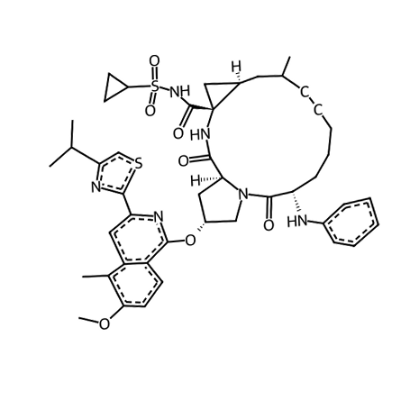 COc1ccc2c(O[C@@H]3C[C@H]4C(=O)N[C@]5(C(=O)NS(=O)(=O)C6CC6)C[C@H]5CC(C)CCCCC[C@H](Nc5ccccc5)C(=O)N4C3)nc(-c3nc(C(C)C)cs3)cc2c1C